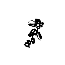 C1=Cc2cc(-c3cccc(-c4c5ccccc5c(-c5ccc6c(c5)oc5ccc7ccc8oc9ccccc9c8c7c56)c5ccccc45)c3)ccc2CC1